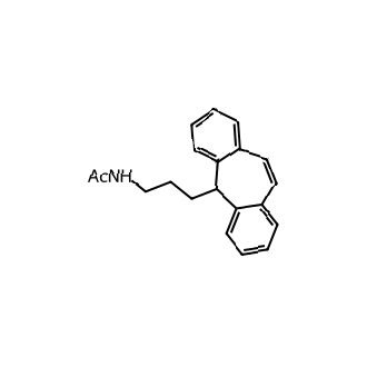 CC(=O)NCCCC1c2ccccc2C=Cc2ccccc21